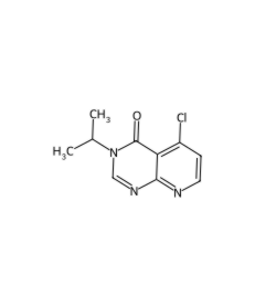 CC(C)n1cnc2nccc(Cl)c2c1=O